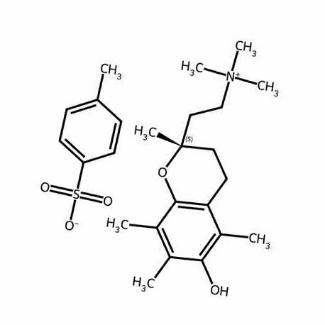 Cc1c(C)c2c(c(C)c1O)CC[C@@](C)(CC[N+](C)(C)C)O2.Cc1ccc(S(=O)(=O)[O-])cc1